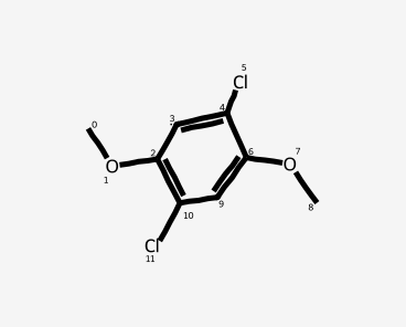 COc1[c]c(Cl)c(OC)cc1Cl